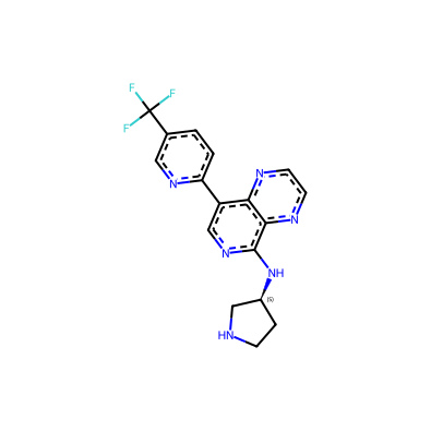 FC(F)(F)c1ccc(-c2cnc(N[C@H]3CCNC3)c3nccnc23)nc1